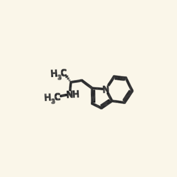 CN[C@H](C)Cc1ccc2ccccn12